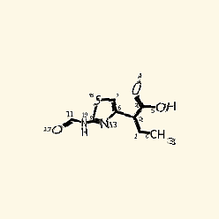 CCC(C(=O)O)c1csc(NC=O)n1